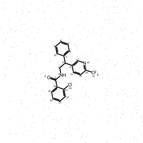 O=C(NCC(c1ccccc1)c1ccc(C(F)(F)F)nc1)c1ccccc1Cl